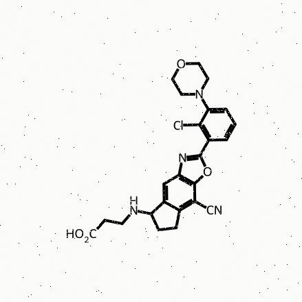 N#Cc1c2c(cc3nc(-c4cccc(N5CCOCC5)c4Cl)oc13)C(NCCC(=O)O)CC2